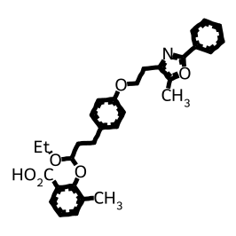 CCOC(CCc1ccc(OCCc2nc(-c3ccccc3)oc2C)cc1)Oc1c(C)cccc1C(=O)O